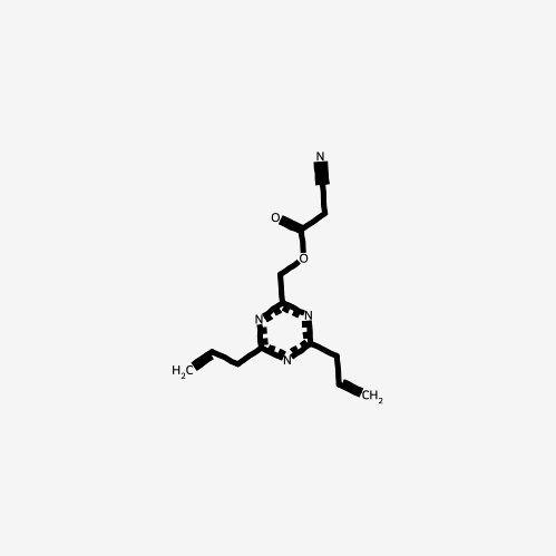 C=CCc1nc(CC=C)nc(COC(=O)CC#N)n1